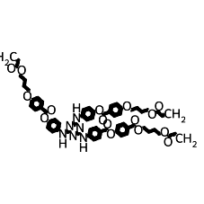 C=CC(=O)OCCCCOC(=O)c1ccc(OC(=O)c2ccc(Nc3nc(Nc4ccc(OC(=O)c5ccc(OCCCCOC(=O)C=C)cc5)cc4)nc(Nc4ccc(OC(=O)c5ccc(OCCCCOC(=O)C=C)cc5)cc4)n3)cc2)cc1